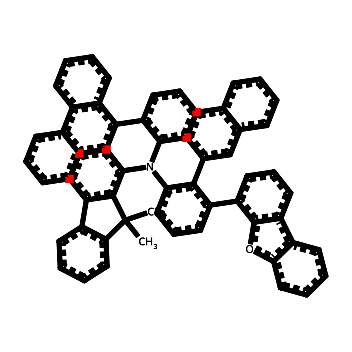 CC1(C)c2ccccc2-c2cccc(N(c3ccccc3-c3cc4ccccc4c4ccccc34)c3cccc(-c4cccc5c4oc4ccccc45)c3-c3ccc4ccccc4c3)c21